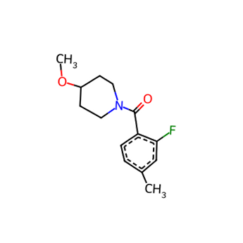 COC1CCN(C(=O)c2ccc(C)cc2F)CC1